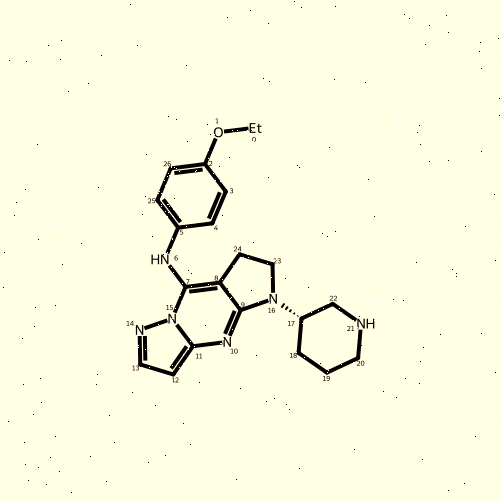 CCOc1ccc(Nc2c3c(nc4ccnn24)N([C@H]2CCCNC2)CC3)cc1